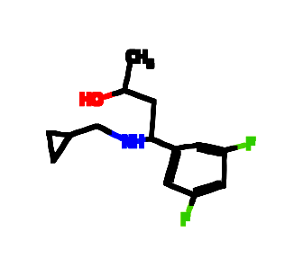 CC(O)CC(NCC1CC1)c1cc(F)cc(F)c1